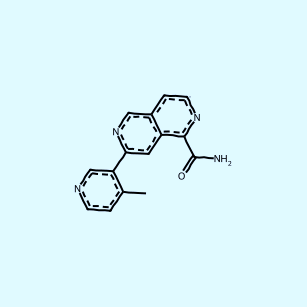 Cc1ccncc1-c1cc2c(C(N)=O)n[c]cc2cn1